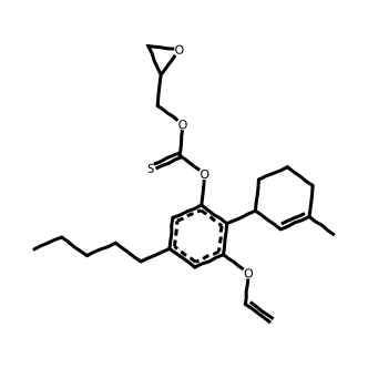 C=COc1cc(CCCCC)cc(OC(=S)OCC2CO2)c1C1C=C(C)CCC1